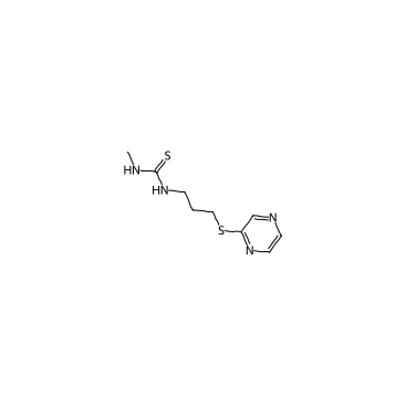 CNC(=S)NCCCSc1cnccn1